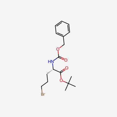 CC(C)(C)OC(=O)[C@H](CCCBr)NC(=O)OCc1ccccc1